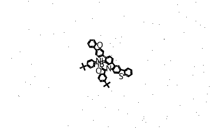 CC(C)(C)c1ccc(Nc2cc3c(cc2-c2ccc4c5cc6c(cc5n5c4c2Bc2oc4ccc(C(C)(C)C)cc4c2-5)sc2ccccc26)oc2ccccc23)cc1